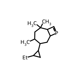 CCC1CC1C1CC2P=CC2C(C)(C)CC1C